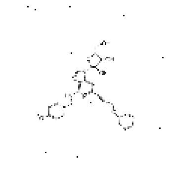 COc1ccc(CNc2nc(C#CCOc3ccccc3)nc3c2ncn3[C@@H]2O[C@H](CO)[C@@H](O)[C@H]2O)cc1